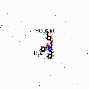 CCOC(Cc1ccc(OCCN(CCCc2ccccc2)C(=O)Nc2cccc(C)c2)cc1)C(=O)O